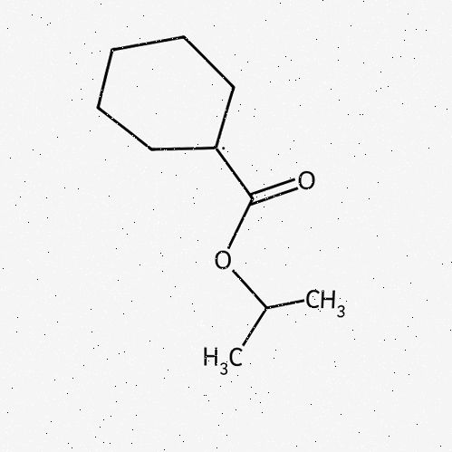 CC(C)OC(=O)[C]1CCCCC1